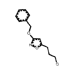 ClCCCc1cc(OCc2ccccc2)no1